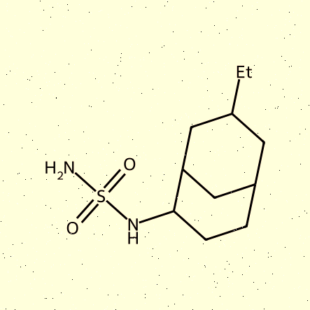 CCC1CC2CCC(NS(N)(=O)=O)C(C1)C2